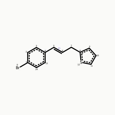 Brc1ccc(/C=C/Cc2cccs2)cc1